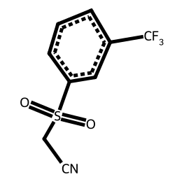 N#CCS(=O)(=O)c1cccc(C(F)(F)F)c1